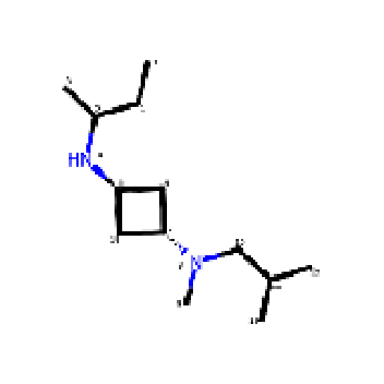 CCC(C)N[C@H]1C[C@H](N(C)CC(C)C)C1